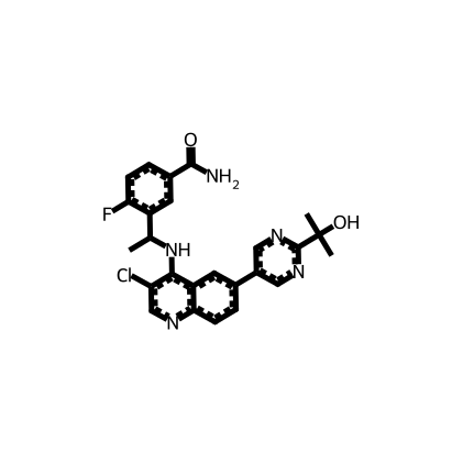 CC(Nc1c(Cl)cnc2ccc(-c3cnc(C(C)(C)O)nc3)cc12)c1cc(C(N)=O)ccc1F